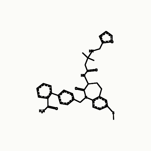 CSc1ccc2c(c1)CCC(NC(=O)CC(C)(C)NCc1ccco1)C(=O)N2Cc1ccc(-c2ccccc2C(N)=O)cc1